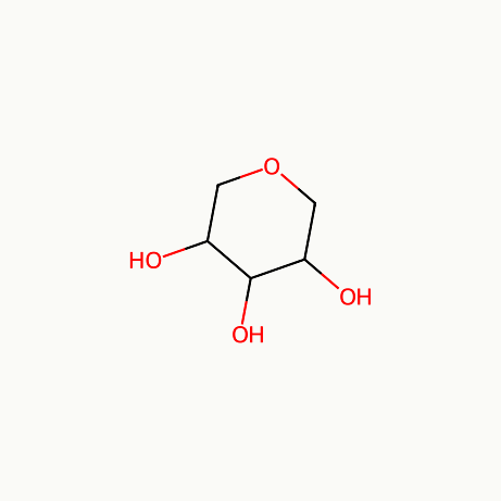 OC1COCC(O)C1O